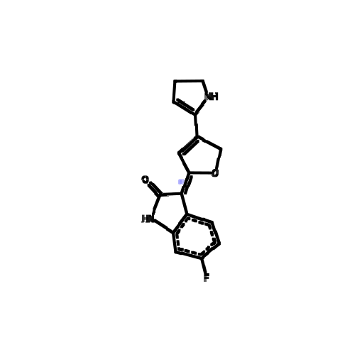 O=C1Nc2cc(F)ccc2/C1=C1/C=C(C2=CCCN2)CO1